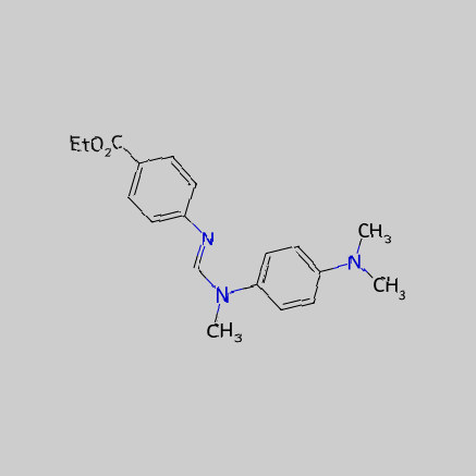 CCOC(=O)c1ccc(/N=C/N(C)c2ccc(N(C)C)cc2)cc1